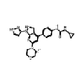 C[C@@H]1COCCN1c1cc(-c2ccc(NC(=O)NC3CC3)cc2)c2c(n1)N(c1cc[nH]n1)NC2